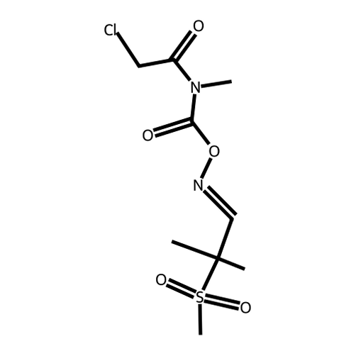 CN(C(=O)CCl)C(=O)ON=CC(C)(C)S(C)(=O)=O